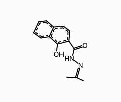 CC(C)=NNC(=O)c1ccc2ccccc2c1O